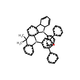 CC1(C)c2ccccc2N(c2cc(-c3ccccc3)nc(-c3ccccc3)c2)c2c1ccc1c2N(c2ccccc2)C2C=CC=CC12